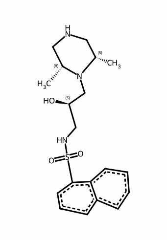 C[C@@H]1CNC[C@H](C)N1C[C@H](O)CNS(=O)(=O)c1cccc2ccccc12